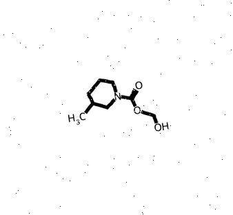 CC1CCCN(C(=O)OCO)C1